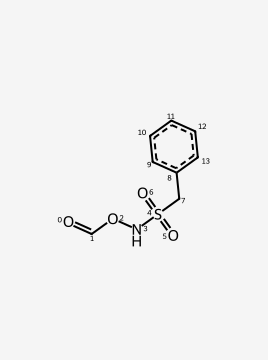 O=CONS(=O)(=O)Cc1ccccc1